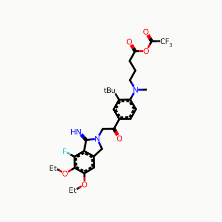 CCOc1cc2c(c(F)c1OCC)C(=N)N(CC(=O)c1ccc(N(C)CCCC(=O)OC(=O)C(F)(F)F)c(C(C)(C)C)c1)C2